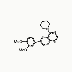 COc1ccc(-c2ccc3ncnc(N4CCCCC4)c3c2)cc1OC